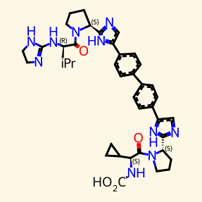 CC(C)[C@@H](NC1=NCCN1)C(=O)N1CCC[C@H]1c1ncc(-c2ccc(-c3ccc(-c4cnc([C@@H]5CCCN5C(=O)[C@@H](NC(=O)O)C5CC5)[nH]4)cc3)cc2)[nH]1